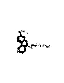 CCCCCOCCNc1nc2cc(C(N)=O)ccc2c2cnccc12